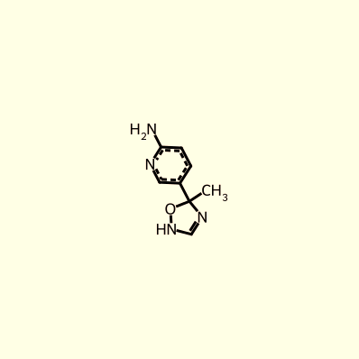 CC1(c2ccc(N)nc2)N=CNO1